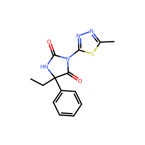 CCC1(c2ccccc2)NC(=O)N(c2nnc(C)s2)C1=O